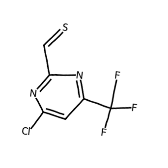 FC(F)(F)c1cc(Cl)nc(C=S)n1